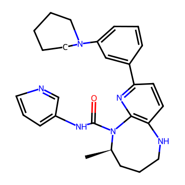 C[C@@H]1CCCNc2ccc(-c3cccc(N4CCCCC4)c3)nc2N1C(=O)Nc1cccnc1